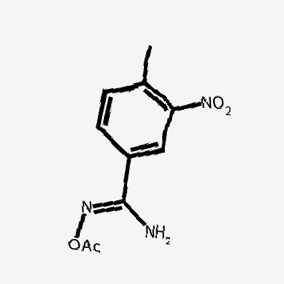 CC(=O)O/N=C(\N)c1ccc(C)c([N+](=O)[O-])c1